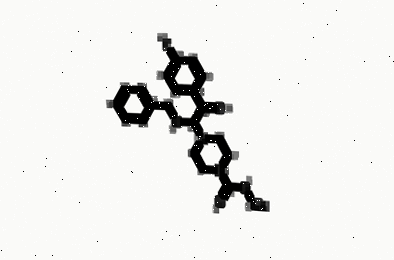 CC(C)(C)OC(=O)N1CCN(C(OCc2ccccc2)C(=O)c2ccc(F)cc2)CC1